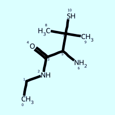 CCNC(=O)C(N)C(C)(C)S